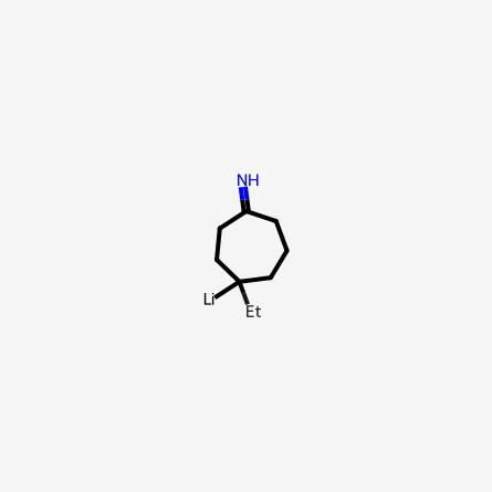 [Li][C]1(CC)CCCC(=N)CC1